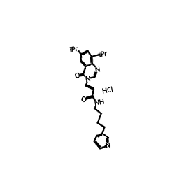 CC(C)c1cc(C(C)C)c2ncn(/C=C/C(=O)NCCCCc3cccnc3)c(=O)c2c1.Cl